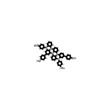 CC(C)(C)c1ccc(N2c3cc(-c4ccc(O)cc4)ccc3B3c4cccc5c4N(c4cccc2c43)c2cc(-c3ccc(O)cc3)cc3c2B5c2ccccc2N3c2ccc(C(C)(C)C)cc2)cc1